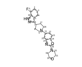 Fc1cccc2c(C3CCN(c4ccc5oc(N6CCOCC6)nc5c4)CC3)n[nH]c12